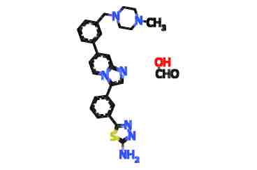 CN1CCN(Cc2cccc(-c3ccn4c(-c5cccc(-c6nnc(N)s6)c5)cnc4c3)c2)CC1.O=CO